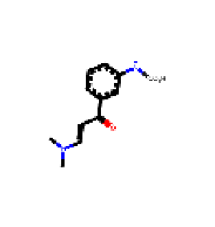 CN(C)C=CC(=O)c1cccc(NC(=O)O)c1